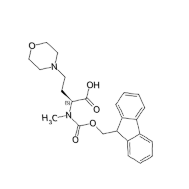 CN(C(=O)OCC1c2ccccc2-c2ccccc21)[C@@H](CCN1CCOCC1)C(=O)O